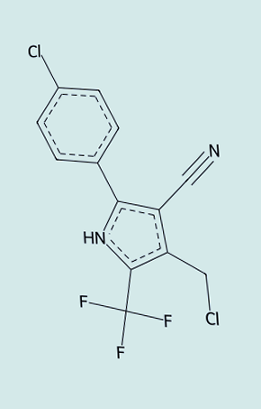 N#Cc1c(-c2ccc(Cl)cc2)[nH]c(C(F)(F)F)c1CCl